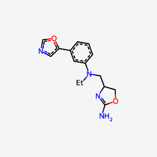 CCN(CC1COC(N)=N1)c1cccc(-c2cnco2)c1